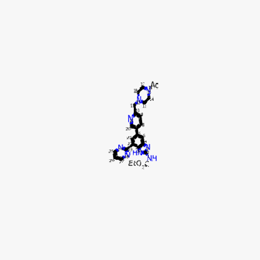 CCOC(=O)Nc1nc2cc(-c3ccc(CN4CCN(C(C)=O)CC4)nc3)cc(-c3ncccn3)c2[nH]1